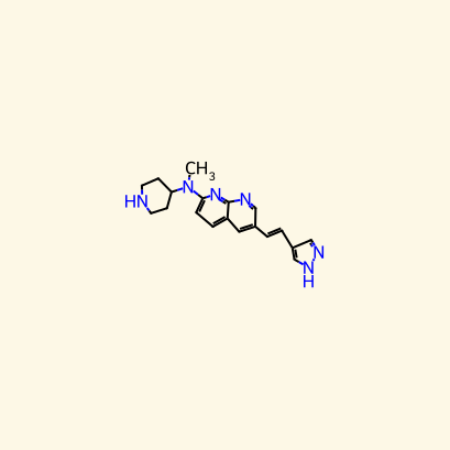 CN(c1ccc2cc(/C=C/c3cn[nH]c3)cnc2n1)C1CCNCC1